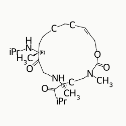 CC(C)N[C@]1(C)CCCCCC=CCOC(=O)N(C)CC[C@@](C)(C(=O)C(C)C)NCC1=O